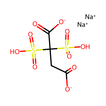 O=C([O-])CC(C(=O)[O-])(S(=O)(=O)O)S(=O)(=O)O.[Na+].[Na+]